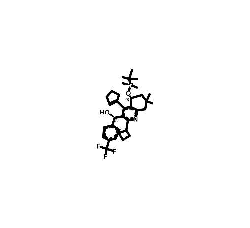 CC1(C)Cc2nc(C3CCC3)c([C@H](O)c3ccc(C(F)(F)F)cc3)c(C3=CCCC3)c2[C@@H](O[Si](C)(C)C(C)(C)C)C1